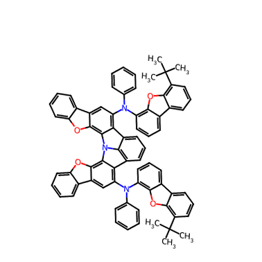 CC(C)(C)c1cccc2c1oc1c(N(c3ccccc3)c3cc4c5ccccc5oc4c4c3c3cccc5c6c(N(c7ccccc7)c7cccc8c7oc7c(C(C)(C)C)cccc78)cc7c8ccccc8oc7c6n4c35)cccc12